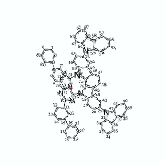 c1ccc(-c2ccc(-c3nc(-c4cccc(-c5ccccc5)c4)nc(-n4c5ccc(-n6c7ccccc7c7ccccc76)cc5c5ccc6c7cc(-n8c9ccccc9c9ccccc98)ccc7n(-c7ccccc7)c6c54)n3)cc2)cc1